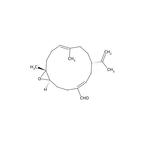 C=C(C)[C@@H]1C/C=C(/C=O)CC[C@H]2O[C@]2(C)CC/C=C(\C)CC1